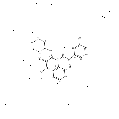 CCOC(=O)N(CC1CCCCC1)C(OC(=O)c1cccc(C)c1)c1ccccc1